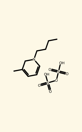 CCCCN1C=CC=C(C)C1.O=S(=O)(O)OS(=O)(=O)O